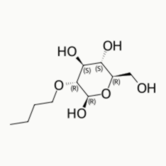 CCCCO[C@@H]1[C@@H](O)[C@H](O)[C@@H](CO)O[C@H]1O